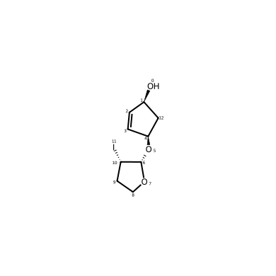 O[C@@H]1C=C[C@H](O[C@@H]2OCC[C@@H]2I)C1